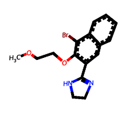 COCCOc1c(C2=NCCN2)cc2ccccc2c1Br